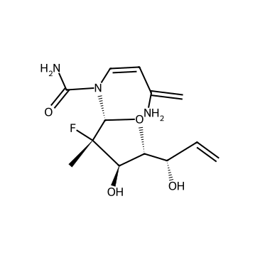 C=C[C@H](O)[C@H]1O[C@@H](N(/C=C\C(=C)N)C(N)=O)[C@@](C)(F)[C@@H]1O